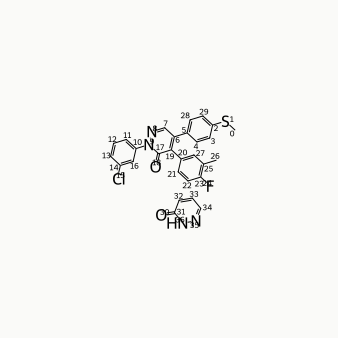 CSc1ccc(-c2cnn(-c3cccc(Cl)c3)c(=O)c2-c2ccc(F)c(C)c2)cc1.O=c1cccn[nH]1